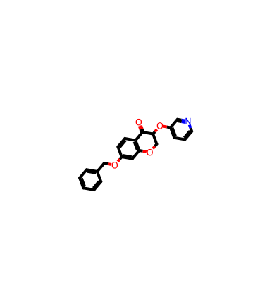 O=C1c2ccc(OCc3ccccc3)cc2OCC1Oc1cccnc1